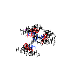 CC(C)(C)OC(=O)NC(CCCC[n+]1cc(O)c(CC(NC(=O)OC(C)(C)C)C(=O)OC(C)(C)C)c(CCC(NC(=O)OC(C)(C)C)C(=O)OC(C)(C)C)c1)C(=O)OC(C)(C)C.[I-]